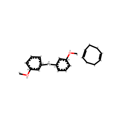 C1=CCCC=CCC1.COc1ccc[c]([Pt][c]2cccc(OC)c2)c1